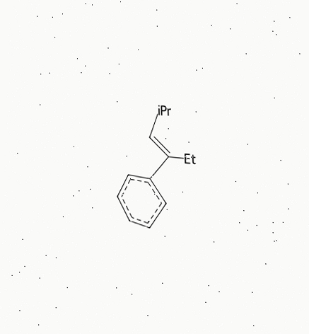 CCC(=CC(C)C)c1ccccc1